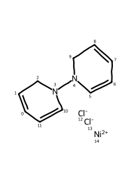 C1=CCN(N2C=CC=CC2)C=C1.[Cl-].[Cl-].[Ni+2]